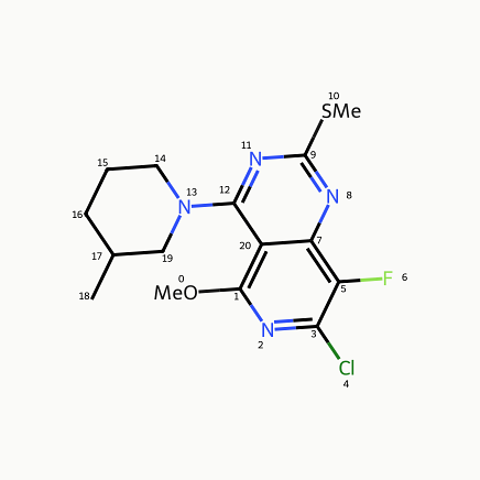 COc1nc(Cl)c(F)c2nc(SC)nc(N3CCCC(C)C3)c12